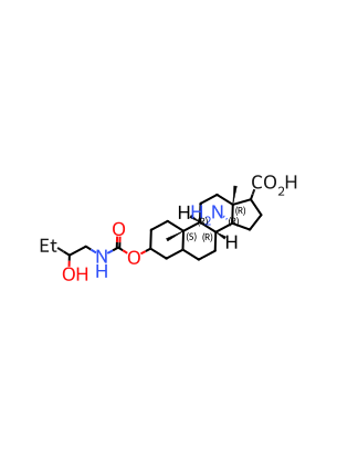 CCC(O)CNC(=O)OC1CC[C@@]2(C)C(CC[C@@H]3[C@H]2CC[C@]2(C)C(C(=O)O)CC[C@@]32N)C1